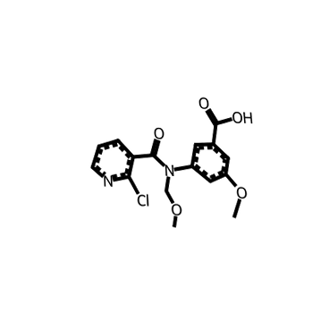 COCN(C(=O)c1cccnc1Cl)c1cc(OC)cc(C(=O)O)c1